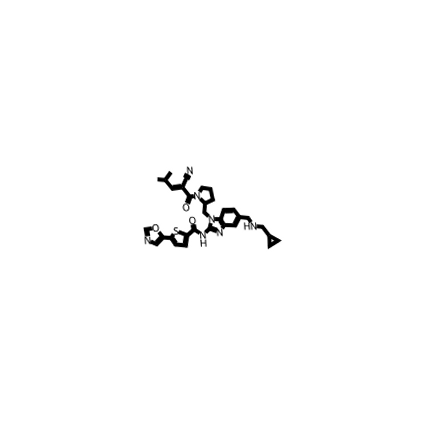 CC(C)C=C(C#N)C(=O)N1CCCC1Cn1c(NC(=O)c2ccc(-c3cnco3)s2)nc2cc(CNCC3CC3)ccc21